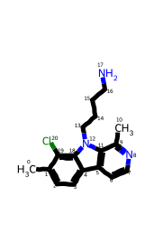 Cc1ccc2c3ccnc(C)c3n(CCCCN)c2c1Cl